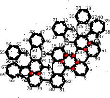 c1ccc(-c2ccccc2N2c3cc4c(cc3B3c5ccccc5N(c5ccccc5)c5c3c2cc2oc3ccccc3c52)B2c3ccccc3N(c3ccccc3)c3c2c(cc2sc5ccccc5c32)N4c2c(-c3ccccc3)cccc2-c2ccccc2)cc1